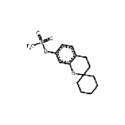 O=S(=O)(Oc1ccc2c(c1)OC1(CCCCC1)CC2)C(F)(F)F